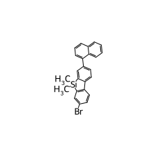 C[Si]1(C)c2cc(Br)ccc2-c2ccc(-c3cccc4ccccc34)cc21